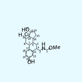 COCNCC1CC2C(CCC3(C)C(O)CCC23)c2ccc(O)cc21